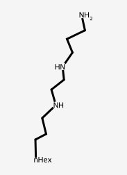 [CH2]CCCCCCCCNCCNCCCN